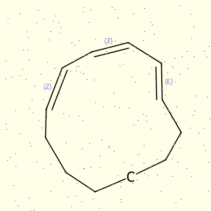 C1=C\C=C\CCCCCC\C=C/1